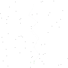 ClCCC=CCCCl